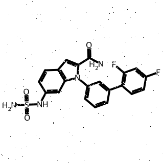 NC(=O)c1cc2ccc(NS(N)(=O)=O)cc2n1-c1cccc(-c2ccc(F)cc2F)c1